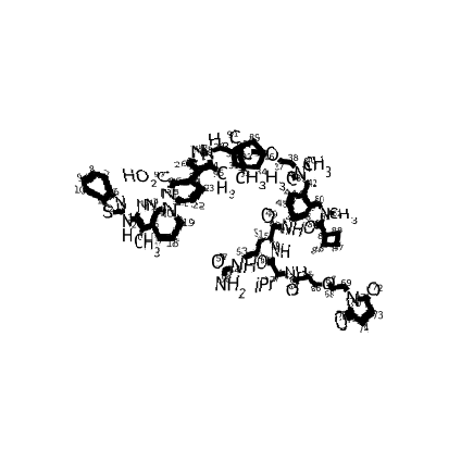 Cc1c(Nc2nc3ccccc3s2)nnc2c1CCCN2c1ccc(-c2cnn(CC34CC5(C)CC(OCC[N+](C)(C)Cc6ccc(NC(=O)[C@H](CCCNC(N)=O)NC(=O)[C@@H](NC(=O)CCOCCN7C(=O)C=CC7=O)C(C)C)cc6CN(C)C(=O)C6CCC6)(CC3(C)C5)C4)c2C)c(C(=O)O)n1